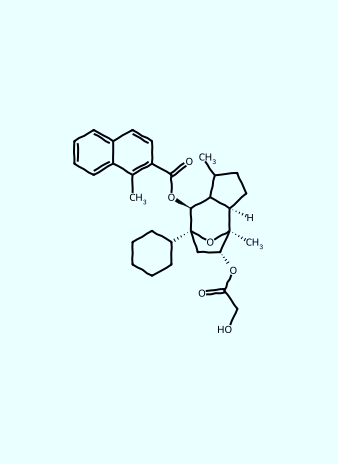 Cc1c(C(=O)O[C@H]2C3C(C)CC[C@H]3[C@]3(C)O[C@@]2(C2CCCCC2)C[C@H]3OC(=O)CO)ccc2ccccc12